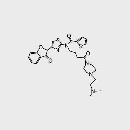 CN(C)CCN1CCN(C(=O)CCCN(C(=O)c2cccs2)c2nc(C3Oc4ccccc4C3=O)cs2)CC1